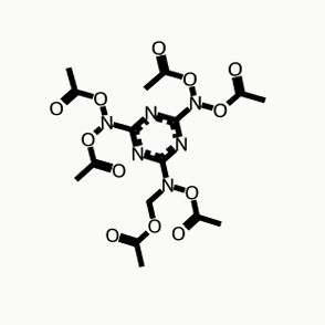 CC(=O)OCN(OC(C)=O)c1nc(N(OC(C)=O)OC(C)=O)nc(N(OC(C)=O)OC(C)=O)n1